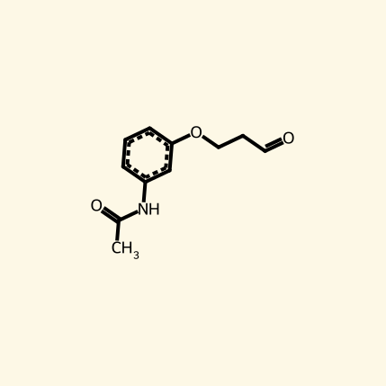 CC(=O)Nc1cccc(OCCC=O)c1